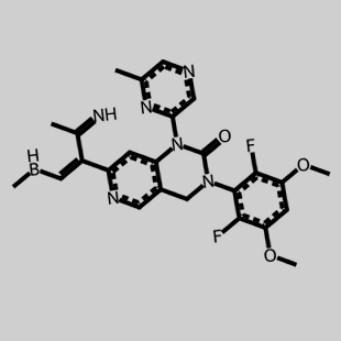 CB/C=C(\C(C)=N)c1cc2c(cn1)CN(c1c(F)c(OC)cc(OC)c1F)C(=O)N2c1cncc(C)n1